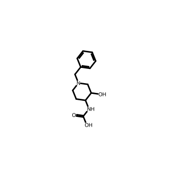 O=C(O)NC1CCN(Cc2ccccc2)CC1O